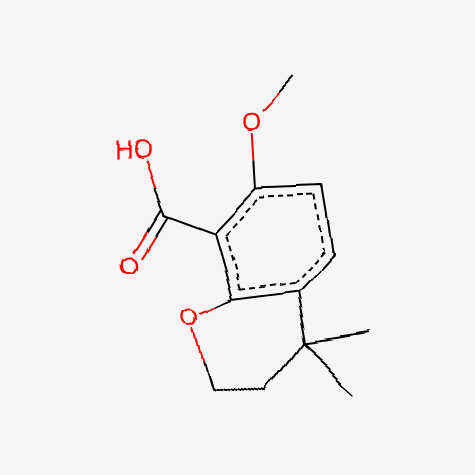 COc1ccc2c(c1C(=O)O)OCCC2(C)C